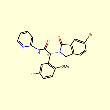 COc1ccc(F)cc1[C@H](C(=O)Nc1ccccn1)N1Cc2ccc(Br)cc2C1=O